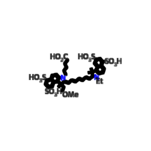 CCN1c2ccc3c(S(=O)(=O)O)cc(S(=O)(=O)O)cc3c2C(C)(C)C1C=CC=CC=CC=C1N(CCCCCC(=O)O)c2ccc3c(S(=O)(=O)O)cc(S(=O)(=O)O)cc3c2C1(C)CCOC